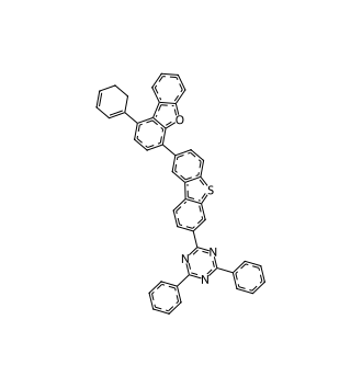 C1=CCCC(c2ccc(-c3ccc4sc5cc(-c6nc(-c7ccccc7)nc(-c7ccccc7)n6)ccc5c4c3)c3oc4ccccc4c23)=C1